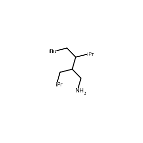 CCC(C)CC(C(C)C)C(CN)CC(C)C